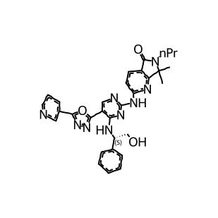 CCCN1C(=O)c2ccc(Nc3ncc(-c4nnc(-c5cccnc5)o4)c(N[C@H](CO)c4ccccc4)n3)nc2C1(C)C